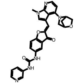 Cn1cc(C=C2Oc3ccc(NC(=O)Nc4cccnc4)cc3C2=O)c2c(N3CC4CC3CO4)ccnc21